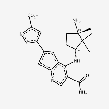 CC1(C)[C@H](Nc2c(C(N)=O)cnn3cc(-c4c[nH]c(C(=O)O)c4)cc23)CC[C@]1(C)N